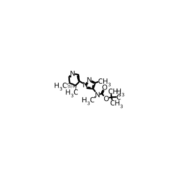 Cc1nn(C2=CN=C[C@@H](C)[C@H]2C)cc1N(C)C(=O)OC(C)(C)C